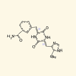 CC(C)(C)c1[nH]cnc1/C=c1\[nH]c(=O)/c(=C/c2cccc(C(N)=O)c2)[nH]c1=O